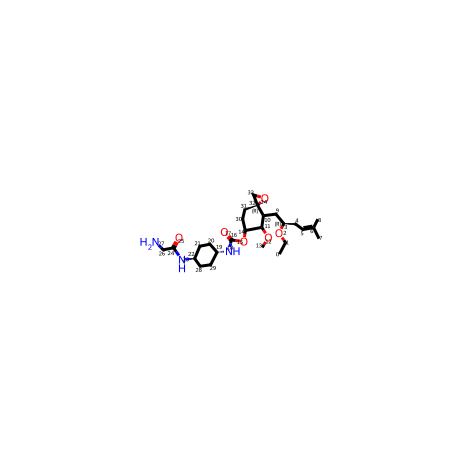 CCO[C@H](CC=C(C)C)CC1C(OC)C(OC(=O)N[C@H]2CC[C@H](NC(=O)CN)CC2)CC[C@]12CO2